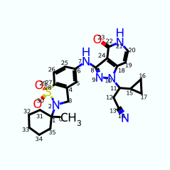 CC1(N2Cc3cc(Nc4nn(C(CC#N)C5CC5)c5cc[nH]c(=O)c45)ccc3S2(=O)=O)CCCCC1